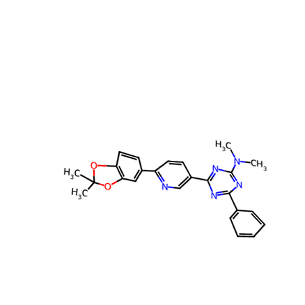 CN(C)c1nc(-c2ccccc2)nc(-c2ccc(-c3ccc4c(c3)OC(C)(C)O4)nc2)n1